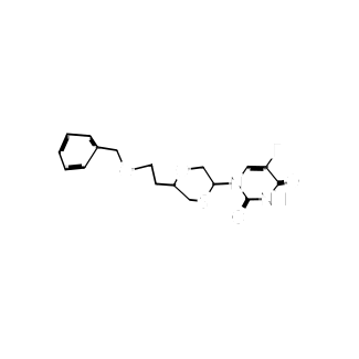 O=c1[nH]c(=O)n(C2COC(CCOCc3ccccc3)CS2)cc1F